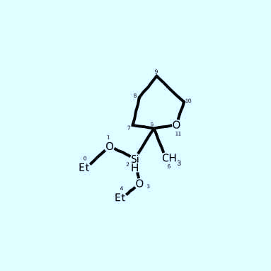 CCO[SiH](OCC)C1(C)CCCCO1